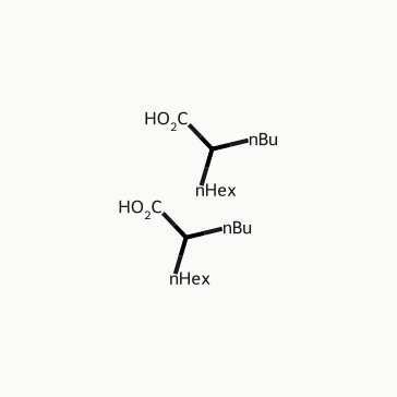 CCCCCCC(CCCC)C(=O)O.CCCCCCC(CCCC)C(=O)O